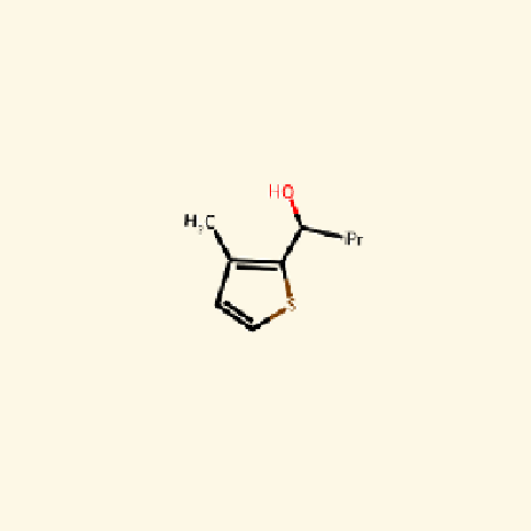 Cc1ccsc1C(O)C(C)C